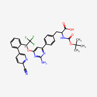 CC(C)(C)OC(=O)NC(Cc1ccc(-c2cc(O[C@@H](c3ccccc3-c3ccc(C#N)nc3)C(F)(F)F)nc(N)n2)cc1)C(=O)O